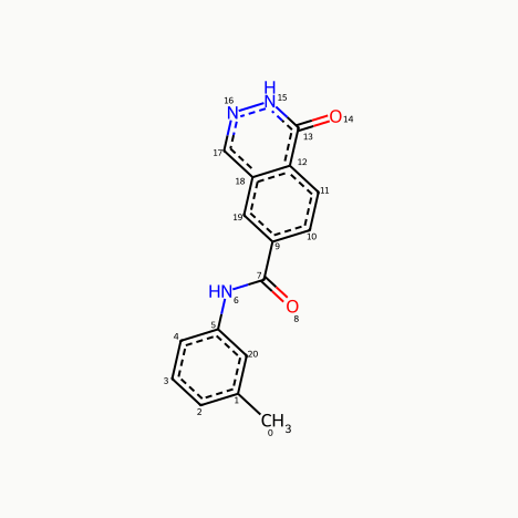 Cc1cccc(NC(=O)c2ccc3c(=O)[nH]ncc3c2)c1